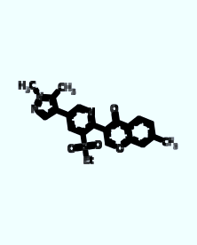 CCS(=O)(=O)c1cc(-c2cnn(C)c2C)cnc1-c1coc2cc(C(F)(F)F)ccc2c1=O